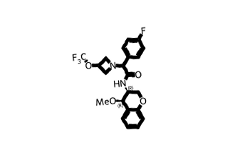 CO[C@@H]1c2ccccc2OC[C@H]1NC(=O)C(c1ccc(F)cc1)N1CC(OC(F)(F)F)C1